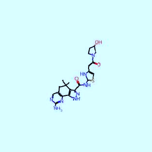 CC1(C)Cc2cnc(N)nc2-c2[nH]nc(C(=O)NC3NC(CC(=O)N4CCC(O)C4)=CS3)c21